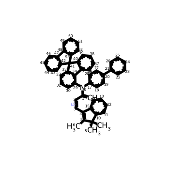 C=C(/C=C\C1=C(C)C(C)(C)c2ccccc21)N(c1ccc(-c2ccccc2)cc1)c1cccc2c1-c1ccccc1C21c2ccccc2-c2ccccc21